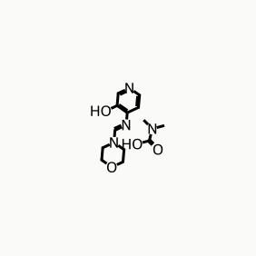 CN(C)C(=O)O.Oc1cnccc1N=CN1CCOCC1